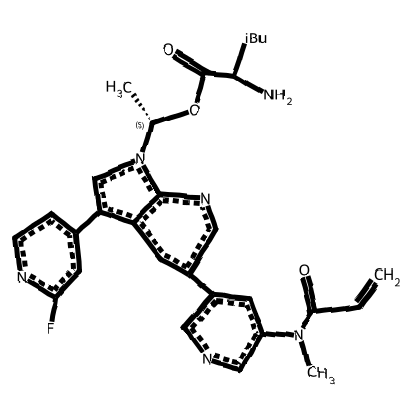 C=CC(=O)N(C)c1cncc(-c2cnc3c(c2)c(-c2ccnc(F)c2)cn3[C@H](C)OC(=O)C(N)C(C)CC)c1